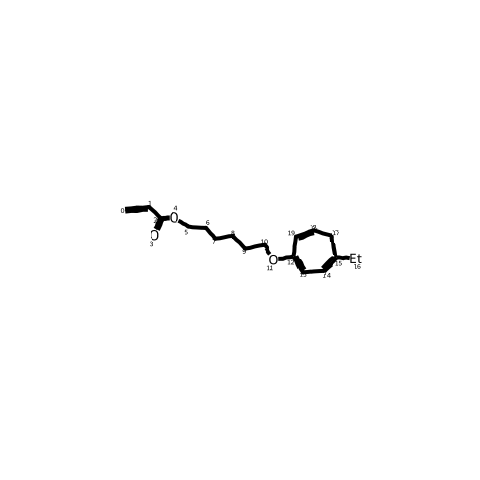 C=CC(=O)OCCCCCCOC1=CC=C(CC)CC=C1